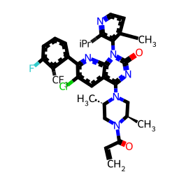 C=CC(=O)N1C[C@H](C)N(c2nc(=O)n(-c3c(C)ccnc3C(C)C)c3nc(-c4cccc(F)c4C(F)(F)F)c(Cl)cc23)C[C@H]1C